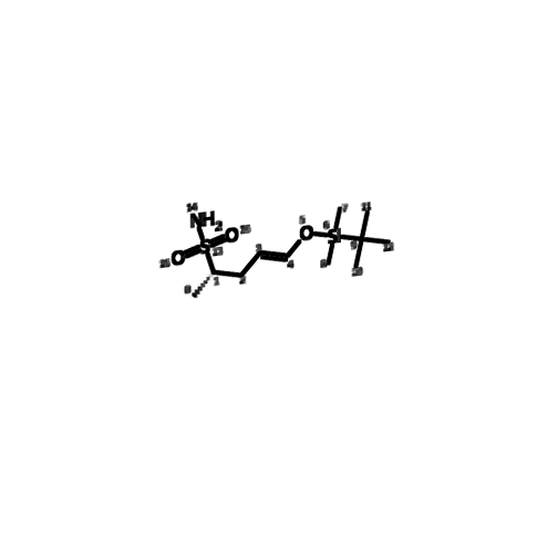 C[C@@H](CC=CO[Si](C)(C)C(C)(C)C)S(N)(=O)=O